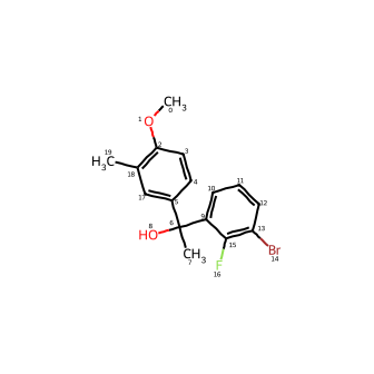 COc1ccc(C(C)(O)c2cccc(Br)c2F)cc1C